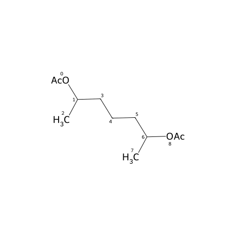 CC(=O)OC(C)CCCC(C)OC(C)=O